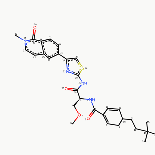 COC[C@H](NC(=O)C1=CCC(CCC(C)(C)C)C=C1)C(=O)Nc1nc(-c2ccc3c(=O)n(C)ccc3c2)cs1